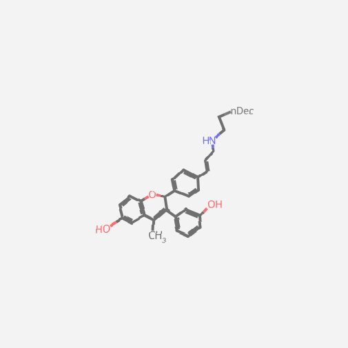 CCCCCCCCCCCCNC/C=C/c1ccc(C2Oc3ccc(O)cc3C(C)=C2c2cccc(O)c2)cc1